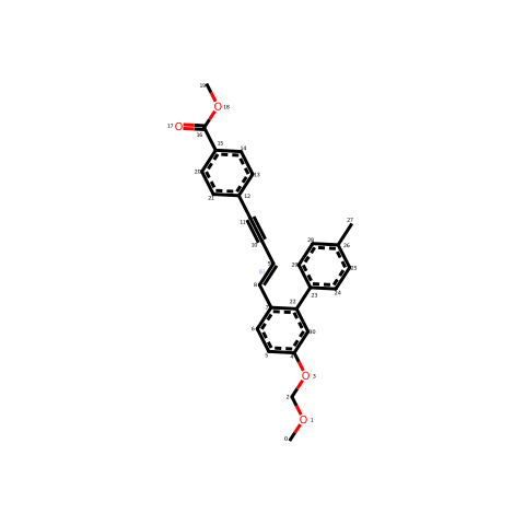 COCOc1ccc(/C=C/C#Cc2ccc(C(=O)OC)cc2)c(-c2ccc(C)cc2)c1